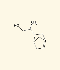 CC(CO)C1CC2=CCC1C2